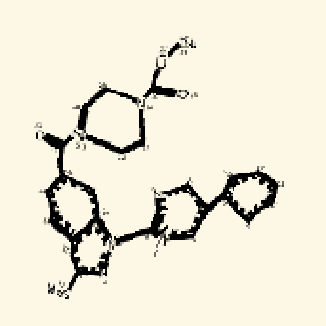 CSc1nn(-c2ncc(-c3ccccc3)cn2)c2cc(C(=O)N3CCN(C(=O)OC(C)(C)C)CC3)ccc12